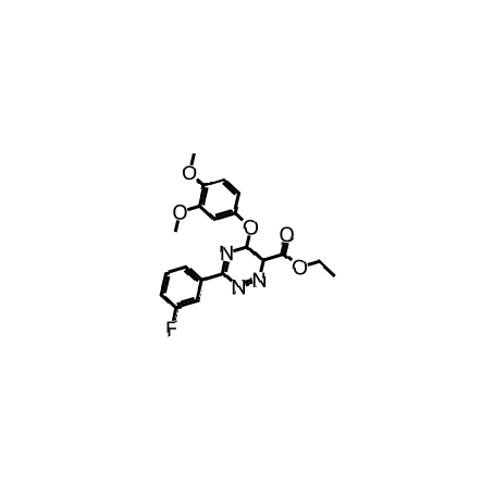 CCOC(=O)C1N=NC(c2cccc(F)c2)=NC1Oc1ccc(OC)c(OC)c1